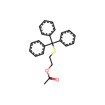 CC(=O)OCCSC(c1ccccc1)(c1ccccc1)c1ccccc1